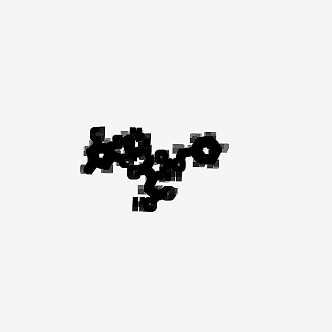 Cc1cc(Cl)c(Sc2nnn(CC(=O)C(CC(=O)O)NC(=O)OCc3ccccc3)n2)c(Cl)c1